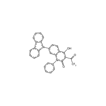 O=C(c1c(O)c2ccc(-n3c4ccccc4c4ccccc43)cc2n(-c2ccccc2)c1=O)C(F)(F)F